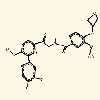 COc1cc(C(=O)NCC(=O)c2ccc(OC)c(-c3ccc(F)c(Cl)c3)n2)ccc1OC1COC1